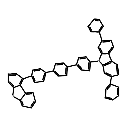 c1ccc(-c2ccc3c4ccc(-c5ccccc5)cc4n(-c4ccc(-c5ccc(-c6ccc(-c7cccc8oc9ccccc9c78)cc6)cc5)cc4)c3c2)cc1